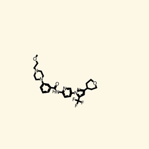 COCCN1CCN(c2cccc(C(=O)Nc3ccc(-n4nc(C5CCOCC5)cc4C(F)(F)F)cn3)c2)CC1